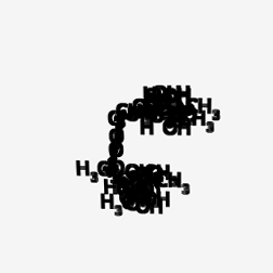 CO[C@@H]1C(C(=O)NNC(=O)CSCC(C)C(=O)CCCOCCOCCCC(=O)C(C)CSCC(=O)NNC(=O)C2O[C@@H](O[C@@H]3C(NC(C)=O)[C@H](C)OC(CO)[C@H]3O)C(O)[C@@H](O)[C@@H]2OC)O[C@@H](O[C@@H]2C(NC(C)=O)[C@H](C)OC(CO)[C@H]2O)C(O)[C@H]1O